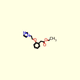 CCOC(=O)Cc1ccccc1OCCn1ccnc1